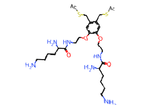 CC(=O)SCc1cc(OCCNC(=O)[C@H](N)CCCCN)c(OCCNC(=O)[C@H](N)CCCCN)cc1CSC(C)=O